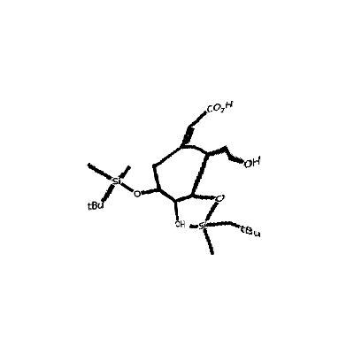 CC(C)(C)[Si](C)(C)OC1CC(=CC(=O)O)C(CO)C(O[Si](C)(C)C(C)(C)C)C1O